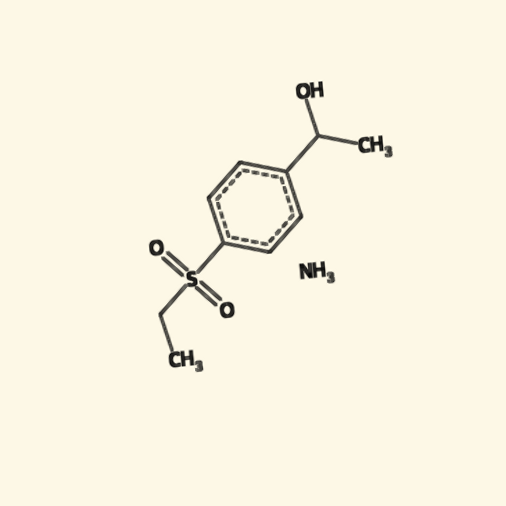 CCS(=O)(=O)c1ccc(C(C)O)cc1.N